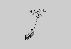 Nc1cc(N)cc(C(=O)OCCCCCCCCCCCC(F)(F)C(F)(F)C(F)(F)C(F)(F)C(F)(F)C(F)(F)F)c1